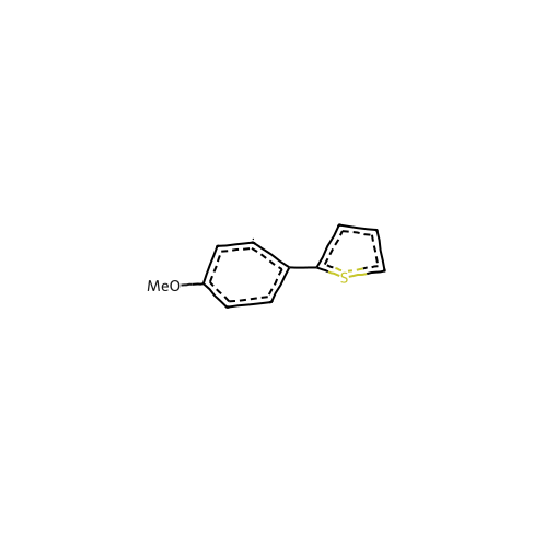 COc1c[c]c(-c2cccs2)cc1